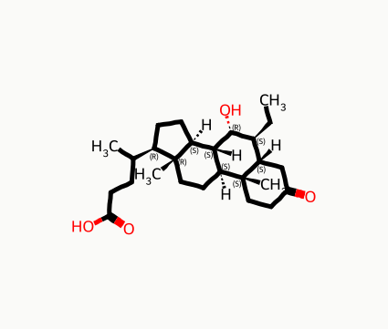 CC[C@@H]1[C@@H](O)[C@@H]2[C@H](CC[C@]3(C)[C@@H](C(C)CCC(=O)O)CC[C@@H]23)[C@@]2(C)CCC(=O)C[C@@H]12